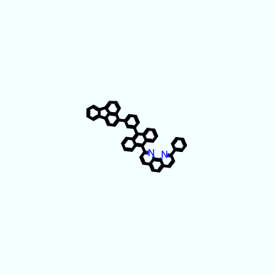 c1ccc(-c2ccc3ccc4ccc(-c5c6ccccc6c(-c6cccc(-c7ccc8c9c(cccc79)-c7ccccc7-8)c6)c6ccccc56)nc4c3n2)cc1